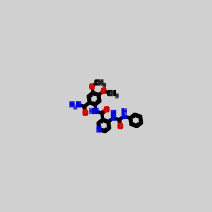 COc1cc(NC(=O)c2cnccc2NC(=O)Nc2ccccc2)c(C(N)=O)cc1OC